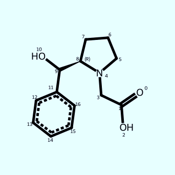 O=C(O)CN1CCC[C@@H]1C(O)c1ccccc1